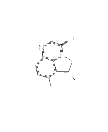 C[C@@H]1Cn2c(=O)cnc3ccc(F)c1c32